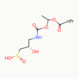 CCCC(=O)OC(C)OC(=O)NC[C@H](O)CS(=O)O